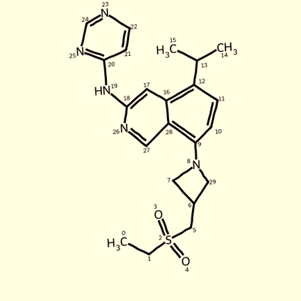 CCS(=O)(=O)CC1CN(c2ccc(C(C)C)c3cc(Nc4ccncn4)ncc23)C1